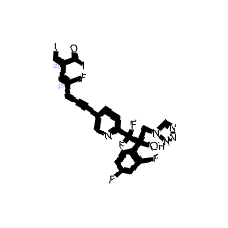 O=C(I)C(/C=C(\F)CC#Cc1ccc(C(F)(F)C(O)(Cn2cnnn2)c2ccc(F)cc2F)nc1)=C\I